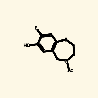 CC(=O)N1CCSc2cc(F)c(O)cc2C1